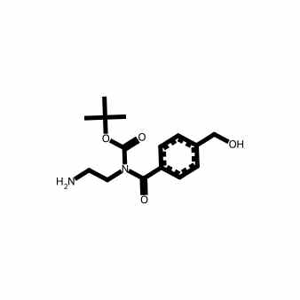 CC(C)(C)OC(=O)N(CCN)C(=O)c1ccc(CO)cc1